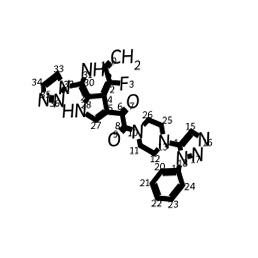 C=C/C(F)=c1/c(C(=O)C(=O)N2CCN(c3cnnn3-c3ccccc3)CC2)c[nH]/c1=C(/N)n1ccnn1